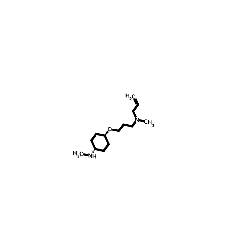 C=CCN(C)CCCO[C@H]1CC[C@H](NC)CC1